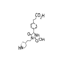 Cl.O=C(O)CCc1ccc(C2NC(=O)N(CCC3CCNCC3)C2=O)cc1